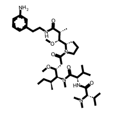 CC[C@H](C)[C@@H]([C@@H](CC(=O)N1CCC[C@H]1[C@H](OC)[C@@H](C)C(=O)NCCc1cccc(N)c1)OC)N(C)C(=O)[C@@H](NC(=O)[C@H](C(C)C)N(C)C)C(C)C